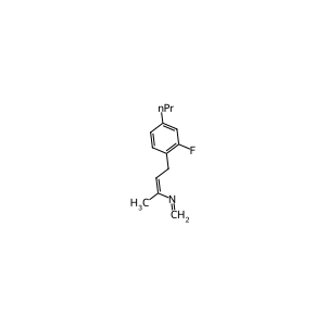 C=N/C(C)=C\Cc1ccc(CCC)cc1F